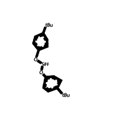 CC(C)(C)c1ccc(O[SiH]Oc2ccc(C(C)(C)C)cc2)cc1